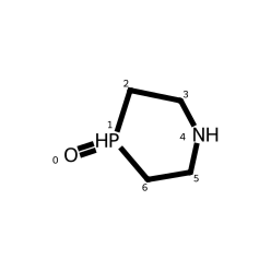 O=[PH]1CCNCC1